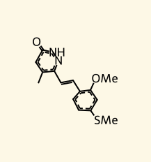 COc1cc(SC)ccc1/C=C/c1n[nH]c(=O)cc1C